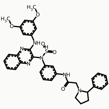 COc1cc(Nc2nc3ccccc3nc2N(c2cccc(NC(=O)CN3CCCC3c3ccccc3)c2)[SH](=O)=O)cc(OC)c1